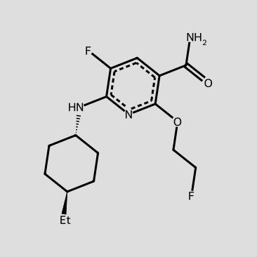 CC[C@H]1CC[C@H](Nc2nc(OCCF)c(C(N)=O)cc2F)CC1